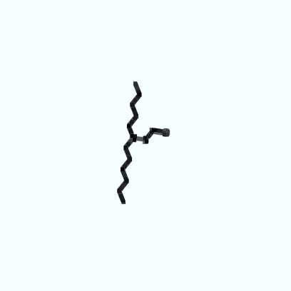 CCCCCCN(CCCCC)S[C]=O